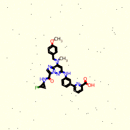 COc1ccc(CN(C)c2cc(Nc3cccc(-c4cccc(C(=O)O)n4)c3)nn3c(C(=O)NC4CC4F)cnc23)cc1